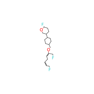 FC/C=C\CC=C(CF)OCC1CCC(C2CCC(F)OC2)CC1